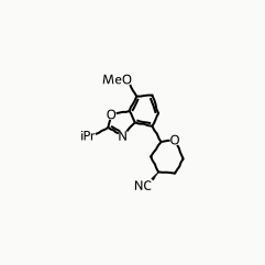 COc1ccc(C2C[C@H](C#N)CCO2)c2nc(C(C)C)oc12